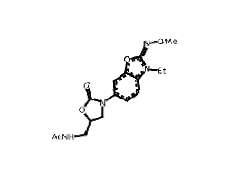 CCn1c(=NOC)oc2cc(N3CC(CNC(C)=O)OC3=O)ccc21